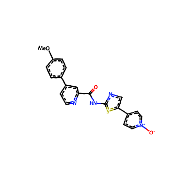 COc1ccc(-c2ccnc(C(=O)Nc3ncc(-c4cc[n+]([O-])cc4)s3)c2)cc1